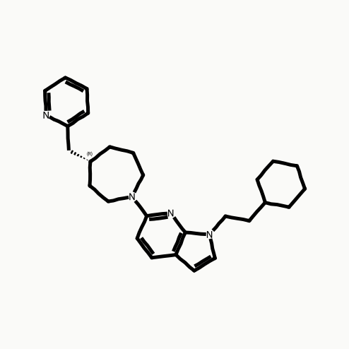 c1ccc(C[C@@H]2CCCN(c3ccc4ccn(CCC5CCCCC5)c4n3)CC2)nc1